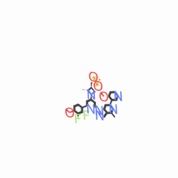 COc1ccncc1-c1cc2c(cnn2-c2cc(N3C[C@H](CS(C)(=O)=O)[C@H]3C)cc(-c3ccc(OC)c(F)c3F)n2)c(C)n1